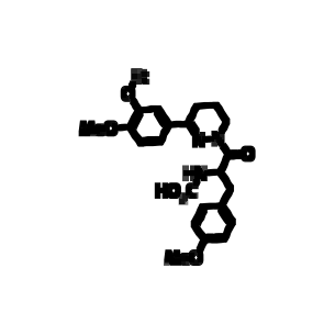 CCOc1cc(C2=NN(C(=O)C(Cc3ccc(OC)cc3)NC(=O)O)CCC2)ccc1OC